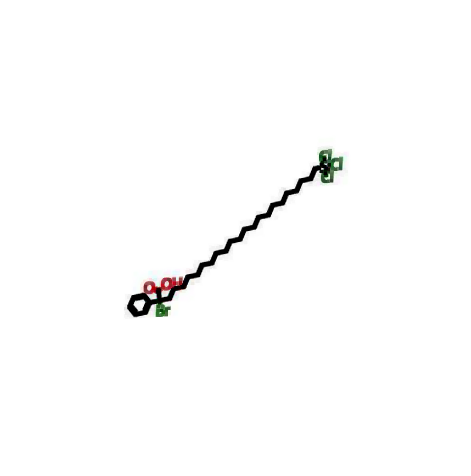 O=C(O)C(Br)(CCCCCCCCCCCCCCCCCCCCCC[Si](Cl)(Cl)Cl)c1ccccc1